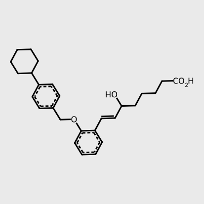 O=C(O)CCCCC(O)C=Cc1ccccc1OCc1ccc(C2CCCCC2)cc1